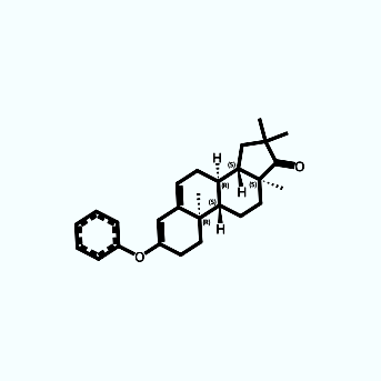 CC1(C)C[C@H]2[C@@H]3CC=C4C=C(Oc5ccccc5)CC[C@]4(C)[C@H]3CC[C@]2(C)C1=O